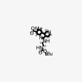 COC(=O)c1ccc2c(c1)nc(NCCNC(=O)OC(C)(C)C)c1ccncc12